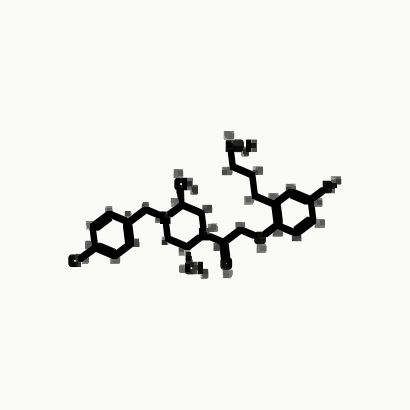 C[C@@H]1CN(Cc2ccc(Cl)cc2)[C@@H](C)CN1C(=O)COc1ccc(Br)cc1CCCS(=O)(=O)O